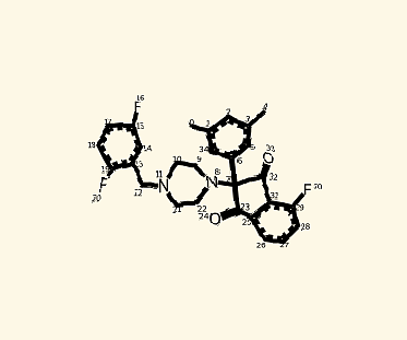 Cc1cc(C)cc(C2(N3CCN(Cc4cc(F)ccc4F)CC3)C(=O)c3cccc(F)c3C2=O)c1